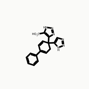 O=C(O)c1[nH]nnc1C1(c2cnn[nH]2)C=CC(c2ccccc2)=CC1